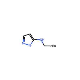 CCCCCNC1=CC=N[N]1